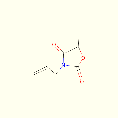 C=CCN1C(=O)OC(C)C1=O